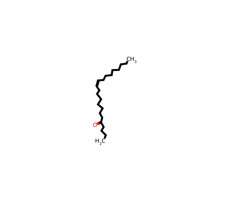 [CH2]CCCC(=O)CCCCCCC/C=C\CCCCCCCC